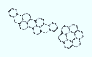 c1cc2ccc3ccc4ccc5ccc6ccc1c1c2c3c4c5c61.c1ccc2c(c1)Cc1ccc3c4ccc5c6c(ccc(c7ccc-2c1c37)c64)-c1ccccc1C5